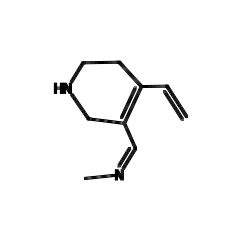 C=CC1=C(/C=N\C)CNCC1